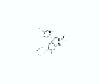 Cc1c(F)c(N2CCN(C)CC2)cc2c1c(=O)c(C(=O)O)cn2-c1ccc(F)cn1.Cl